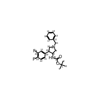 CC(C)(C)OC(=O)NC1CN(Cc2ccccc2)CC1c1ccc(F)c(F)c1